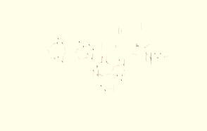 CNC(=O)[C@]1(C)C(O)C(O)C(n2cnc3c(NCC4CC4)nc(-n4cc(-c5ncccn5)nn4)nc32)[C@H]1C